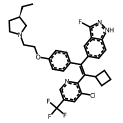 CC[C@@H]1CCN(CCOc2ccc(/C(=C(\c3ncc(C(F)(F)F)cc3Cl)C3CCC3)c3ccc4[nH]nc(F)c4c3)cc2)C1